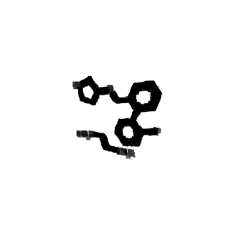 Fc1ccccc1-c1ccccc1COC1CCNC1.O=C(O)C=CC(=O)O